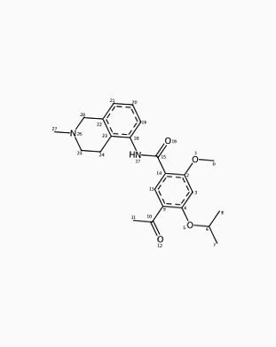 COc1cc(OC(C)C)c(C(C)=O)cc1C(=O)Nc1cccc2c1CCN(C)C2